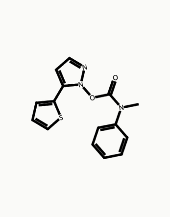 CN(C(=O)On1nccc1-c1cccs1)c1ccccc1